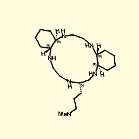 CNCCC[C@H]1CN[C@@H]2CCCC[C@H]2NCCN[C@@H]2CCCC[C@H]2NCCN1